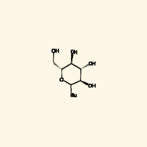 CCC(C)C1O[C@H](CO)[C@@H](O)[C@H](O)[C@H]1O